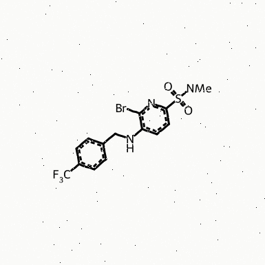 CNS(=O)(=O)c1ccc(NCc2ccc(C(F)(F)F)cc2)c(Br)n1